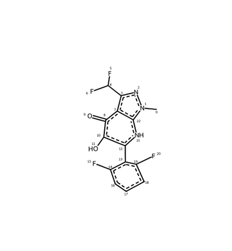 Cn1nc(C(F)F)c2c(=O)c(O)c(-c3c(F)cccc3F)[nH]c21